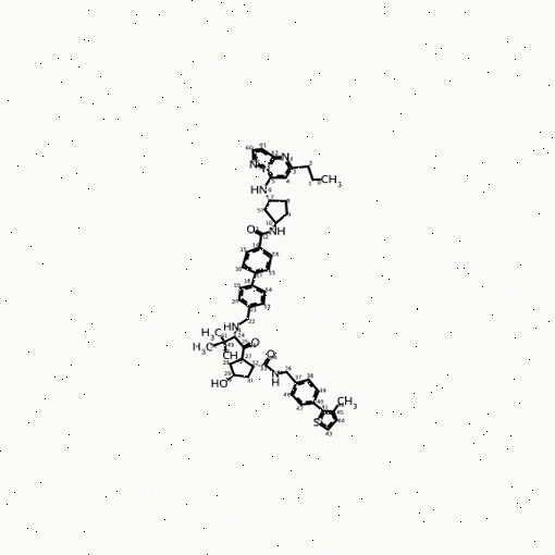 CCCc1cc(N[C@@H]2CC[C@@H](NC(=O)c3ccc(-c4ccc(CN[C@H](C(=O)C5C[C@H](O)C[C@H]5C(=O)NCc5ccc(-c6sccc6C)cc5)C(C)(C)C)cc4)cc3)C2)n2nccc2n1